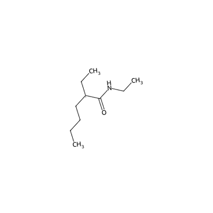 CCCC[C](CC)C(=O)NCC